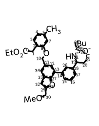 CCOC(=O)Cc1ccc(C)cc1OCc1cc(-c2cccc(C(CF)N[S@+]([O-])C(C)(C)C)c2)c2oc(COC)cc2c1